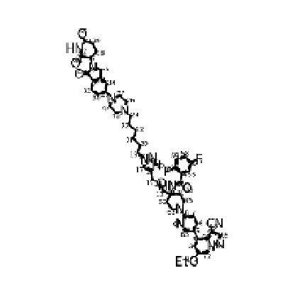 CCOc1cc(-c2ccc(N3CCC(COCc4cn(CCCCCCN5CCN(c6ccc7c(c6)CN(C6CCC(=O)NC6=O)C7=O)CC5)nn4)(NC(=O)c4cc(F)ccc4F)CC3)nc2)c2c(C#N)cnn2c1